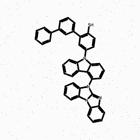 Sc1ccc(-n2c3ccccc3c3c(-n4c5ccccc5n5c6ccccc6nc45)cccc32)cc1-c1cccc(-c2ccccc2)c1